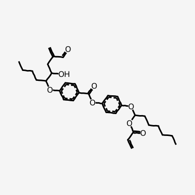 C=CC(=O)OC(CCCCCC)Oc1ccc(OC(=O)c2ccc(OC(CCCC)C(O)CC(=C)C=O)cc2)cc1